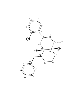 C[C@H]1O[C@@H](c2ccncc2N)C[C@H]2N(Cc3ccccc3)CCC[C@@]12O